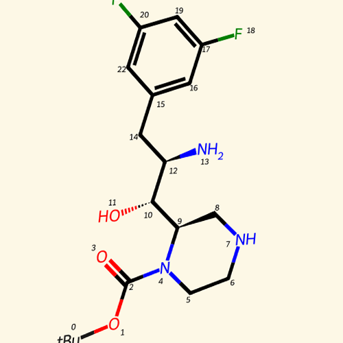 CC(C)(C)OC(=O)N1CCNC[C@@H]1[C@H](O)[C@H](N)Cc1cc(F)cc(F)c1